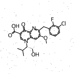 COc1cc2c(nc1Cc1cccc(Cl)c1F)c(=O)c(C(=O)O)cn2[C@H](CO)C(C)C